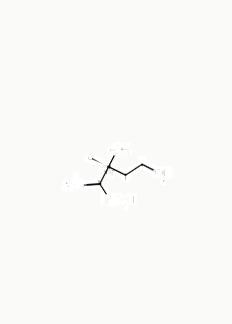 CC(=O)OC(C(=O)O)[C@](C)(O)CCO